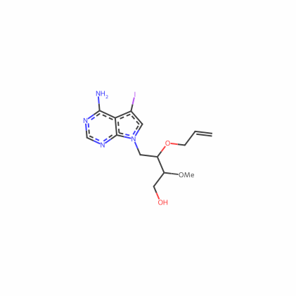 C=CCOC(Cn1cc(I)c2c(N)ncnc21)C(CO)OC